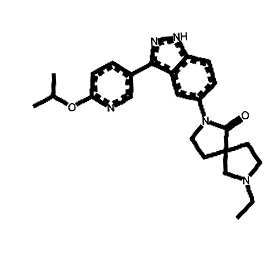 CCN1CCC2(CCN(c3ccc4[nH]nc(-c5ccc(OC(C)C)nc5)c4c3)C2=O)C1